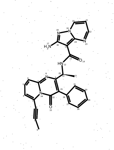 CC#Cc1cccc2nc([C@H](C)NC(=O)c3c(N)nn4cccnc34)c(-c3ccccc3)c(=O)n12